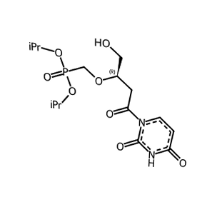 CC(C)OP(=O)(CO[C@@H](CO)CC(=O)n1ccc(=O)[nH]c1=O)OC(C)C